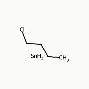 CCCCCl.[SnH2]